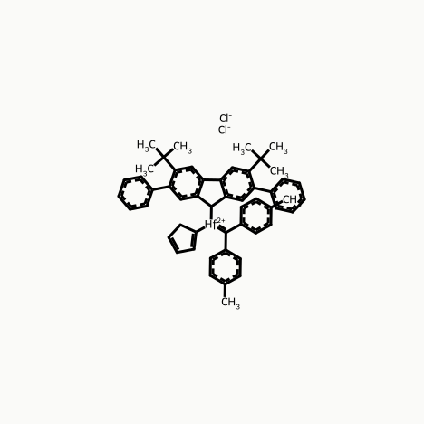 Cc1ccc([C](c2ccc(C)cc2)=[Hf+2]([C]2=CC=CC2)[CH]2c3cc(-c4ccccc4)c(C(C)(C)C)cc3-c3cc(C(C)(C)C)c(-c4ccccc4)cc32)cc1.[Cl-].[Cl-]